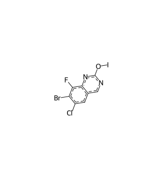 Fc1c(Br)c(Cl)cc2cnc(OI)nc12